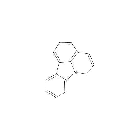 C1=Cc2cccc3c4ccccc4n(c23)C1